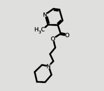 Cc1ncccc1C(=O)OCCCN1CCCCC1